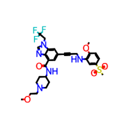 COCCN1CCC(NC(=O)c2cc(C#CCNc3cc(S(C)(=O)=O)ccc3OC)cc3c2ncn3CC(F)(F)F)CC1